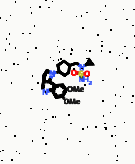 COc1cc2ncc3ccn(C4CCC(CN(C5CC5)S(N)(=O)=O)CC4)c3c2cc1OC